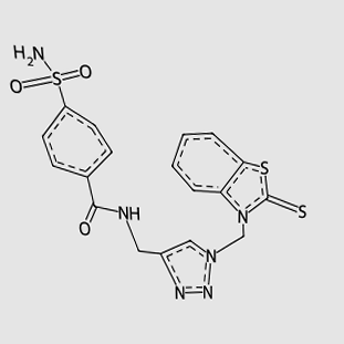 NS(=O)(=O)c1ccc(C(=O)NCc2cn(Cn3c(=S)sc4ccccc43)nn2)cc1